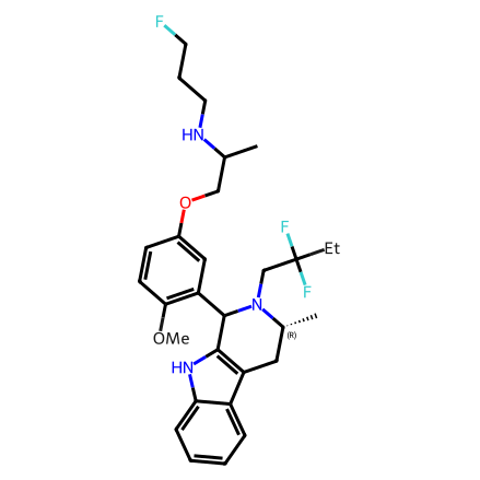 CCC(F)(F)CN1C(c2cc(OCC(C)NCCCF)ccc2OC)c2[nH]c3ccccc3c2C[C@H]1C